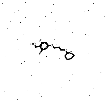 OCc1c(F)cc(OCCCOC2CCCCO2)cc1F